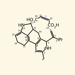 C=C(C(C)C)C1NC(C)=CC2=C1CC1CNC3=CCCC2=C31.O=C(O)/C=C\C(=O)O